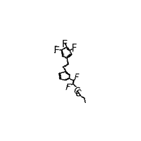 CCCCCC/C(F)=C(\F)c1cccc(CCc2cc(F)c(F)c(F)c2)c1